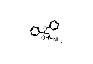 NCCC(O)(Oc1ccccc1)c1ccccc1